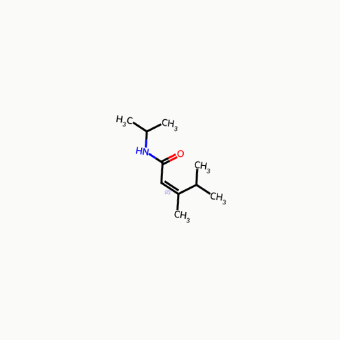 C/C(=C/C(=O)NC(C)C)C(C)C